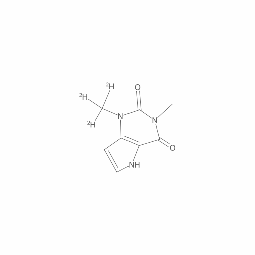 [2H]C([2H])([2H])n1c(=O)n(C)c(=O)c2[nH]ccc21